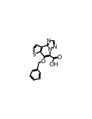 O=C(O)c1c(OCc2ccccc2)c2sccc2c2ncnn12